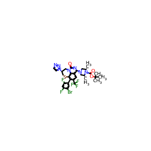 C[C@@H]1CN(c2nc(=O)n3c4c(c(-c5cc(Br)c(F)cc5F)c(C(F)(F)F)cc24)SC[C@@H](n2ccnn2)C3)C[C@H](C)N1C(=O)OC(C)(C)C